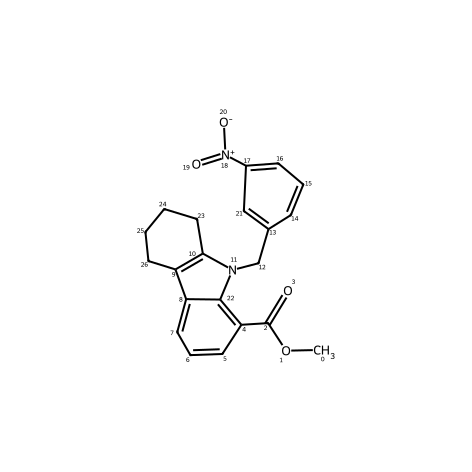 COC(=O)c1cccc2c3c(n(Cc4cccc([N+](=O)[O-])c4)c12)CCCC3